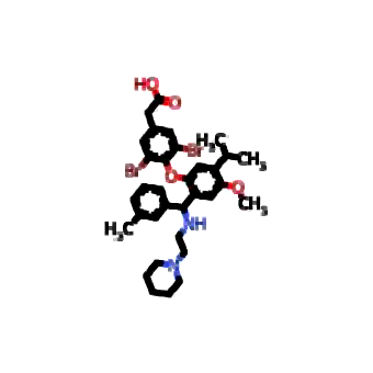 COc1cc(C(NCCN2CCCCC2)c2cccc(C)c2)c(Oc2c(Br)cc(CC(=O)O)cc2Br)cc1C(C)C